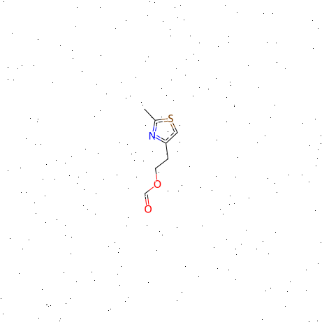 Cc1nc(CCOC=O)cs1